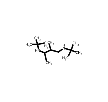 C[C](NC(C)(C)C)C(C)CNC(C)(C)C